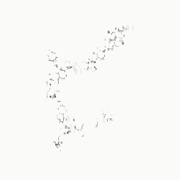 C[C@H](NC(=O)OCCOCCN1C(=O)C=CC1=O)C(=O)N[C@@H](CCCNC(N)=O)C(=O)Nc1ccc(COC(=O)N(C)CCN(C)C(=O)Oc2ccc(C(=O)NCCC[C@H](NC(=O)c3ccc(NCc4cnc5nc(N)nc(N)c5n4)cc3)C(=O)O)c(OCc3ccccc3)c2)cc1